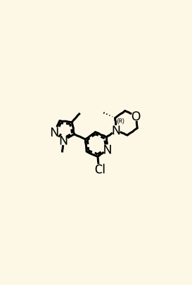 Cc1cnn(C)c1-c1cc(Cl)nc(N2CCOC[C@H]2C)c1